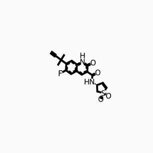 C#CC(C)(C)c1cc2[nH]c(=O)c(C(=O)N[C@@H]3C=CS(=O)(=O)C3)cc2cc1F